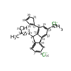 C[C](C)=[Zr+2][CH]1c2ccccc2-c2cc(C)cc(C3=CC=CC3)c21.[Cl-].[Cl-]